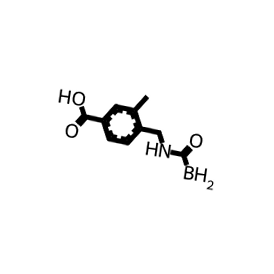 BC(=O)NCc1ccc(C(=O)O)cc1C